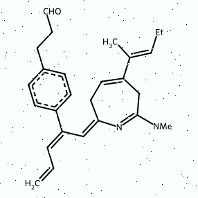 C=C/C=C(\C=C1/CC=C(/C(C)=C/CC)CC(NC)=N1)c1ccc(CCC=O)cc1